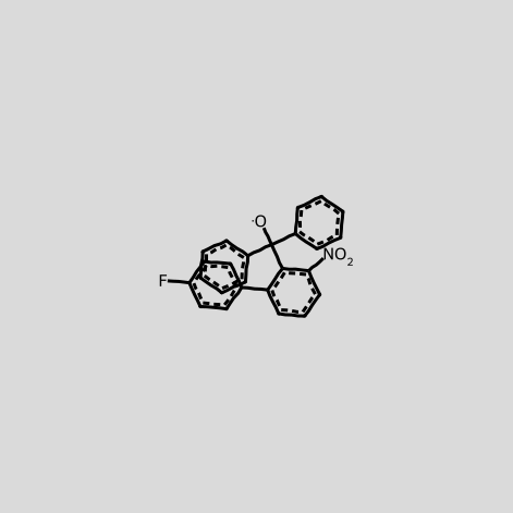 [O]C(c1ccccc1)(c1ccccc1)c1c(-c2ccc(F)cc2)cccc1[N+](=O)[O-]